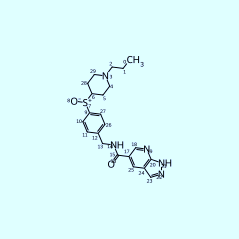 CCCN1CCC([S+]([O-])c2ccc(CNC(=O)c3cnc4[nH]ncc4c3)cc2)CC1